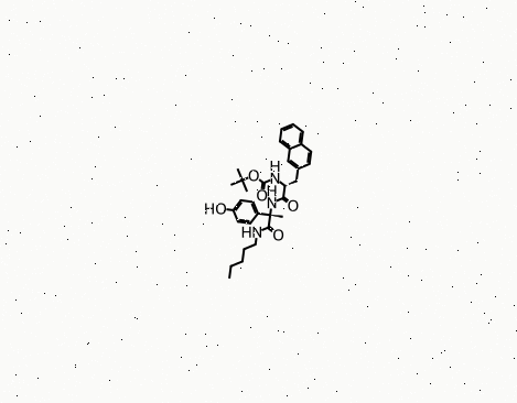 CCCCCNC(=O)[C@@](C)(NC(=O)[C@H](Cc1ccc2ccccc2c1)NC(=O)OC(C)(C)C)c1ccc(O)cc1